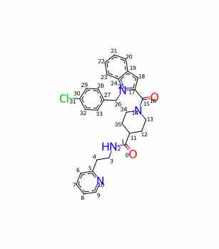 O=C(NCCc1ccccn1)C1CCN(C(=O)c2cc3ccccc3n2Cc2ccc(Cl)cc2)CC1